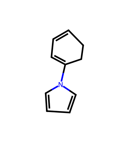 C1=CCCC(n2cccc2)=C1